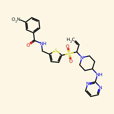 C=CC(N1CCC(Nc2ncccn2)CC1)S(=O)(=O)c1ccc(CNC(=O)c2cccc([N+](=O)[O-])c2)s1